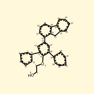 OCCOc1c(-c2ccccc2)cc(-c2cccc3c2Cc2ccccc2-3)cc1-c1ccccc1